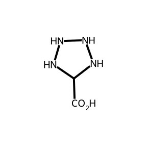 O=C(O)C1NNNN1